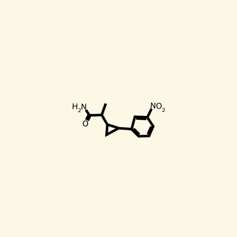 CC(C(N)=O)C1CC1c1cccc([N+](=O)[O-])c1